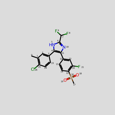 Cc1cc(-c2[nH]c(C(F)F)nc2-c2ccc(S(C)(=O)=O)c(F)c2)ccc1Cl